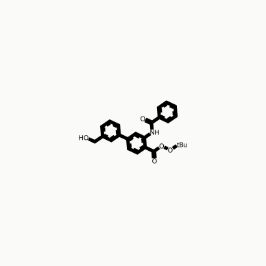 CC(C)(C)OOC(=O)c1ccc(-c2cccc(CO)c2)cc1NC(=O)c1ccccc1